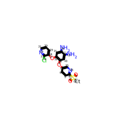 CCS(=O)(=O)c1ccc(Oc2cc(N)c(N)cc2Oc2cccnc2Cl)cn1